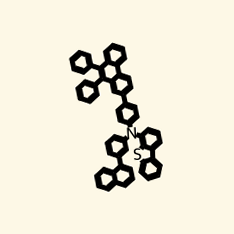 c1ccc(-c2c(-c3ccccc3)c3cc(-c4ccc(N(c5cccc(-c6cccc7ccccc67)c5)c5cccc6c5sc5ccccc56)cc4)ccc3c3ccccc23)cc1